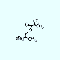 C=C(C(=O)OCC(C)CCCC)C(F)(F)F